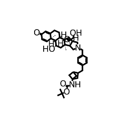 CC(C)(C)OC(=O)NC12CC(Cc3ccc(CN4C[C@@H]5C[C@H]6[C@@H]7CCC8=CC(=O)C=C[C@]8(C)[C@H]7[C@@H](O)C[C@]6(C)[C@]5(C(=O)CO)C4)cc3)C(C1)C2